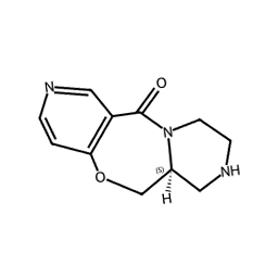 O=C1c2cnccc2OC[C@@H]2CNCCN12